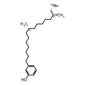 CC[C@@H](C)C[C@@H](C)CCCCC[C@@H](C)CCCCCCCc1cccc(O)c1